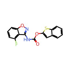 O=C(Nc1noc2cccc(F)c12)Oc1cc2ccccc2s1